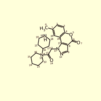 Cc1ccc2oc(=O)c3cnn(CC(=O)[N+]4(C5CCNCC5)CCCCC4)c3c2c1